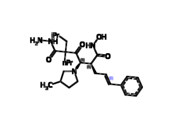 CCCC(CC(C)C)(C(=O)NN)C(=O)[C@@H]([C@H](C/C=C/c1ccccc1)C(=O)NO)N1CCC(C)C1